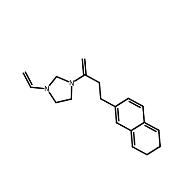 C=CN1CCN(C(=C)CCc2ccc3c(c2)=CCCC=3)C1